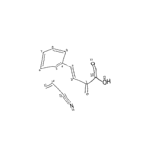 C=C(C=Cc1ccccc1)C(=O)O.C=CC#N